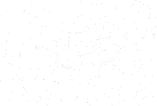 Cc1onc(-c2c(Cl)cncc2Cl)c1C(=O)O